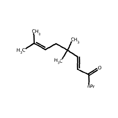 CCCC(=O)/C=C/C(C)(C)CC=C(C)C